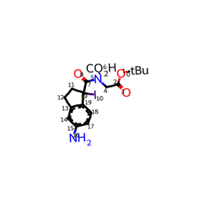 CC(C)(C)OC(=O)CN(C(=O)O)C(=O)C1(I)CCc2cc(N)ccc21